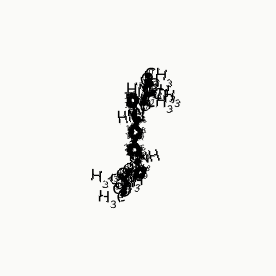 COC(=O)N[C@H](C(=O)N1CCC[C@H]1c1ncc(-c2ccc(-c3ccc4nc([C@@H]5CCCN5C(=O)[C@@H](NC(=O)OC)C(C)(C)C)[nH]c4c3)cc2)[nH]1)C(C)(C)C